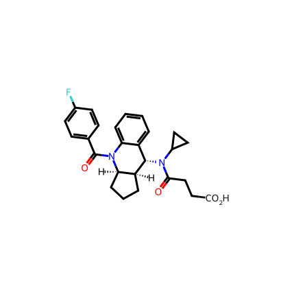 O=C(O)CCC(=O)N(C1CC1)[C@H]1c2ccccc2N(C(=O)c2ccc(F)cc2)[C@@H]2CCC[C@@H]21